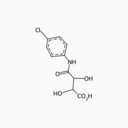 O=C(O)C(O)C(O)C(=O)Nc1ccc(Cl)cc1